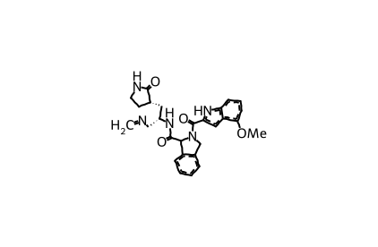 C=NC[C@H](C[C@@H]1CCNC1=O)NC(=O)C1c2ccccc2CN1C(=O)c1cc2c(OC)cccc2[nH]1